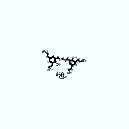 CC(=O)[O-].CC(=O)[O-].CC(C)CCc1cc(C=NCN=Cc2cc(CCC(C)C)cc(CCC(C)C)c2O)c(O)c(CCC(C)C)c1.[Co+2]